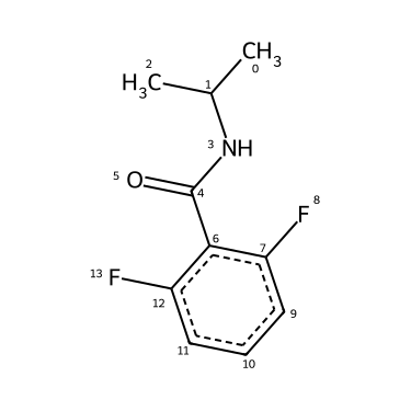 CC(C)NC(=O)c1c(F)cccc1F